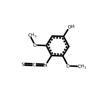 COc1cc(O)cc(OC)c1N=C=S